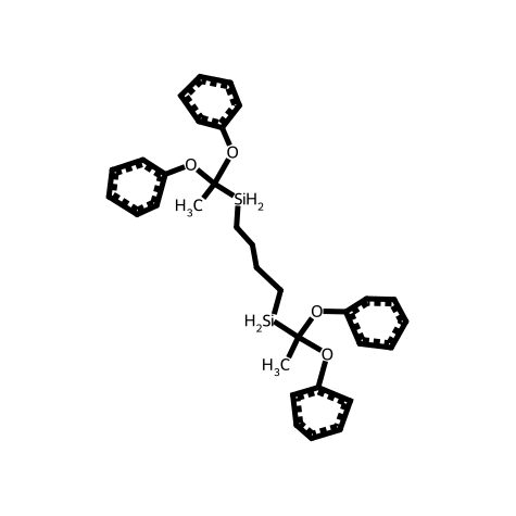 CC(Oc1ccccc1)(Oc1ccccc1)[SiH2]CCCC[SiH2]C(C)(Oc1ccccc1)Oc1ccccc1